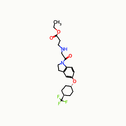 CCOC(=O)CCNCC(=O)N1CCc2cc(O[C@H]3CC[C@H](C(F)(F)F)CC3)ccc21